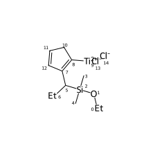 CCO[Si](C)(C)C(CC)C1=[C]([Ti+2])CC=C1.[Cl-].[Cl-]